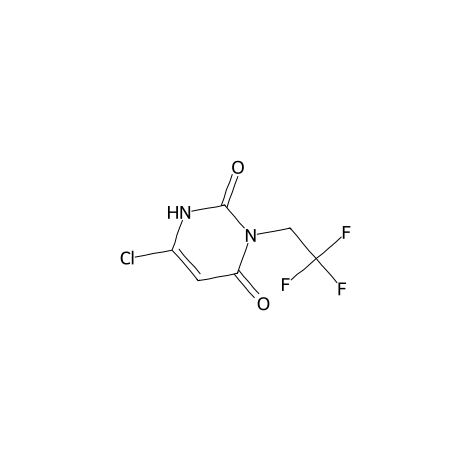 O=c1cc(Cl)[nH]c(=O)n1CC(F)(F)F